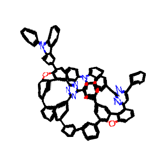 c1ccc(-c2ccc3oc4c(-c5ccc6c(c5)c5ccccc5n6-c5ccccc5)ccc(-c5nc(-c6ccccc6)nc(-c6cccc(-c7cccc(-c8cccc(-c9cc(-c%10ccc%11c(c%10)c%10ccccc%10n%11-c%10ccccc%10)cc%10c9oc9cccc(-c%11cc(-c%12ccccc%12)nc(-c%12ccccc%12)n%11)c9%10)c8)c7)c6)n5)c4c3c2)cc1